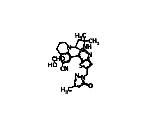 Cc1cnn(Cc2cc3nccc(-c4cc(C#N)cc5c4N([C@@H]4CNC(C)(C)C4)CCC5)c3s2)c(=O)c1.O=CO